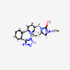 CCCCCc1cn(C(C)(C)C)c(=O)n1Cc1ccc(-c2ccccc2-c2nnn[nH]2)nc1